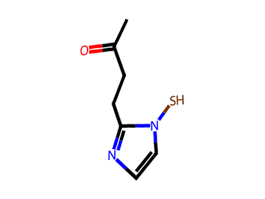 CC(=O)CCc1nccn1S